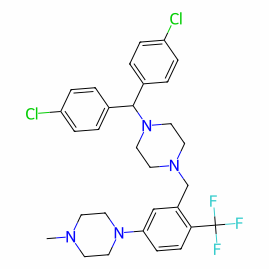 CN1CCN(c2ccc(C(F)(F)F)c(CN3CCN(C(c4ccc(Cl)cc4)c4ccc(Cl)cc4)CC3)c2)CC1